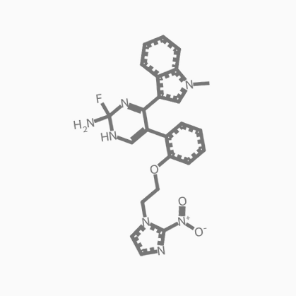 Cn1cc(C2=NC(N)(F)NC=C2c2ccccc2OCCn2ccnc2[N+](=O)[O-])c2ccccc21